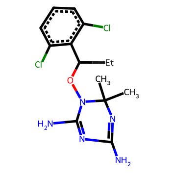 CCC(ON1C(N)=NC(N)=NC1(C)C)c1c(Cl)cccc1Cl